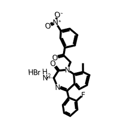 Br.Cc1cccc2c1N(CC(=O)c1cccc([N+](=O)[O-])c1)C(=O)[C@@H](N)N=C2c1ccccc1F